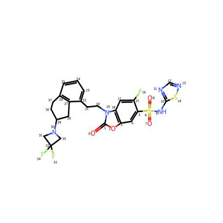 O=c1oc2cc(S(=O)(=O)Nc3ncns3)c(F)cc2n1CCc1cccc2c1CC(N1CC(F)(F)C1)CC2